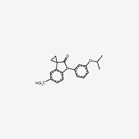 O=C(O)c1ccc2c(c1)C1(CC1)C(=O)N2c1cccc(OC(F)F)c1